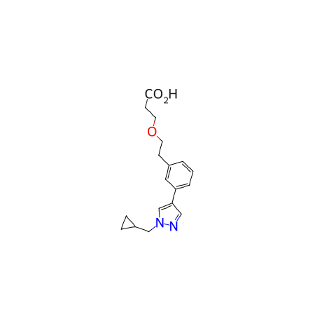 O=C(O)CCOCCc1cccc(-c2cnn(CC3CC3)c2)c1